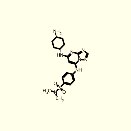 CN(C)S(=O)(=O)c1ccc(Nc2cc(N[C@H]3CC[C@H](N)CC3)nc3ncnn23)cc1